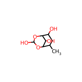 CC1CC(O)C2OC(O)OC1C2O